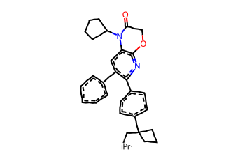 C[C](C)CC1(c2ccc(-c3nc4c(cc3-c3ccccc3)N(C3CCCC3)C(=O)CO4)cc2)CCC1